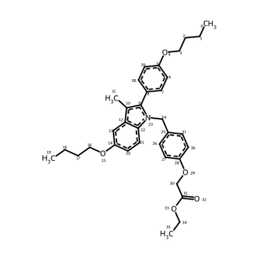 CCCCOc1ccc(-c2c(C)c3cc(OCCCC)ccc3n2Cc2ccc(OCC(=O)OCC)cc2)cc1